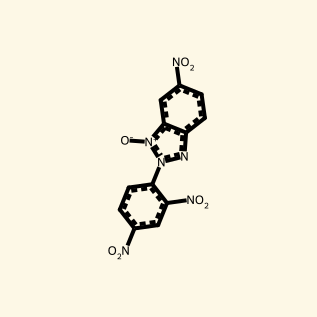 O=[N+]([O-])c1ccc(-n2nc3ccc([N+](=O)[O-])cc3[n+]2[O-])c([N+](=O)[O-])c1